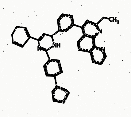 CCc1cc(-c2cccc(C3C=C(C4=CCCC=C4)N=C(c4ccc(-c5ccccc5)cc4)N3)c2)c2ccc3cccnc3c2n1